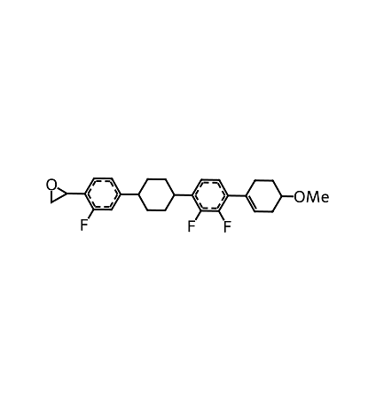 COC1CC=C(c2ccc(C3CCC(c4ccc(C5CO5)c(F)c4)CC3)c(F)c2F)CC1